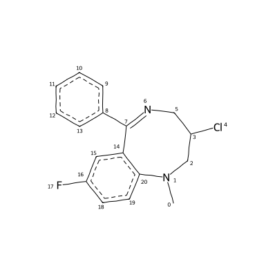 CN1CC(Cl)CN=C(c2ccccc2)c2cc(F)ccc21